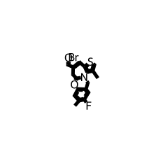 Cc1ccc(CN2C(=O)CC(C=O)=C(Br)c3scc(C)c32)cc1F